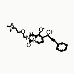 COc1c(C(O)C#Cc2ccccc2)ccn2c(=O)n(COCC[Si](C)(C)C)nc12